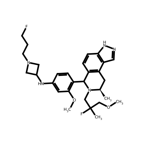 COCC(C)(F)CN1C(c2ccc(NC3CN(CCCF)C3)cc2OC)c2ccc3[nH]ncc3c2C[C@H]1C